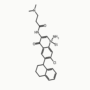 CC[N+]1(N)C=C(NC(=O)CCN(C)C)C(=O)c2cc(C3CCCc4ccccc43)c(Cl)cc21